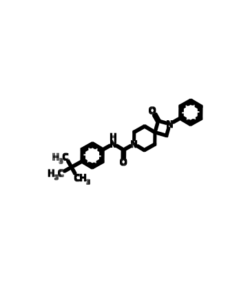 CC(C)(C)c1ccc(NC(=O)N2CCC3(CC2)CN(c2ccccc2)C3=O)cc1